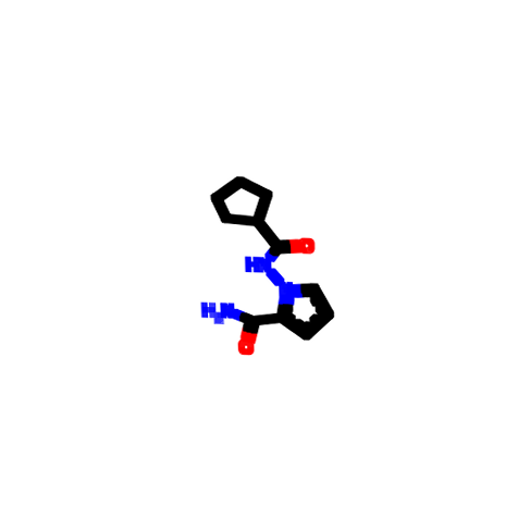 NC(=O)c1cccn1NC(=O)C1CCCC1